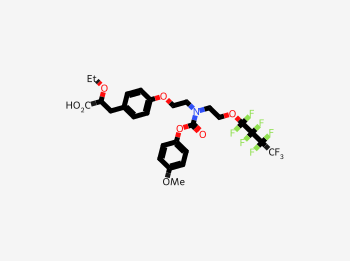 CCOC(Cc1ccc(OCCN(CCOC(F)(F)C(F)(F)C(F)(F)C(F)(F)F)C(=O)Oc2ccc(OC)cc2)cc1)C(=O)O